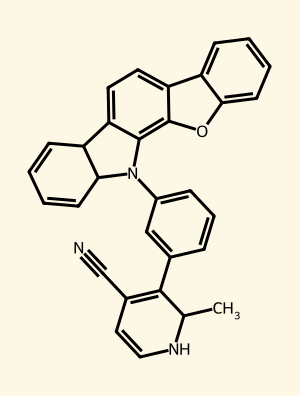 CC1NC=CC(C#N)=C1c1cccc(N2c3c(ccc4c3oc3ccccc34)C3C=CC=CC32)c1